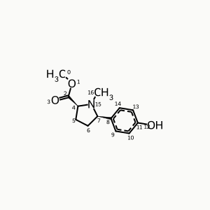 COC(=O)[C@@H]1CC[C@H](c2ccc(O)cc2)N1C